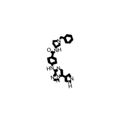 O=C(N[C@H]1CCN(Cc2ccccc2)C1)c1ccc(Nc2ncc(-c3cn[nH]c3)n3ncnc23)cc1